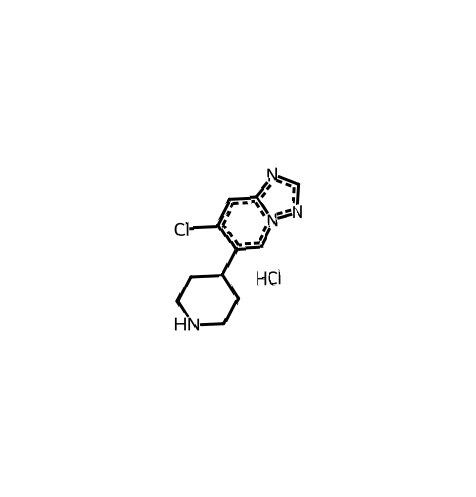 Cl.Clc1cc2ncnn2cc1C1CCNCC1